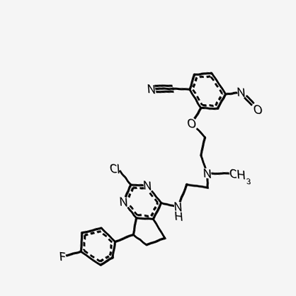 CN(CCNc1nc(Cl)nc2c1CCC2c1ccc(F)cc1)CCOc1cc(N=O)ccc1C#N